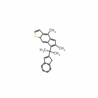 CC1=C(C(C)(C)C2=Cc3ccccc3C2)C2=CC3SC=CC3=C(C)C2=C1